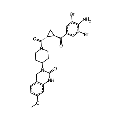 COc1ccc2c(c1)NC(=O)N(C1CCN(C(=O)[C@@H]3C[C@H]3C(=O)c3cc(Br)c(N)c(Br)c3)CC1)C2